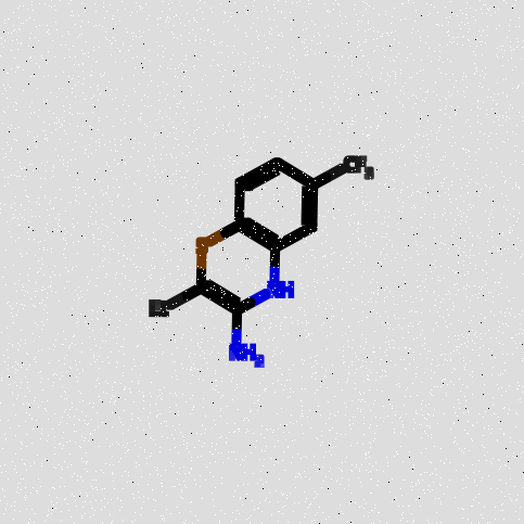 CCC1=C(N)Nc2cc(C(F)(F)F)ccc2S1